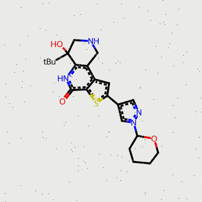 CC(C)(C)C1(O)CNCc2c1[nH]c(=O)c1sc(-c3cnn(C4CCCCO4)c3)cc21